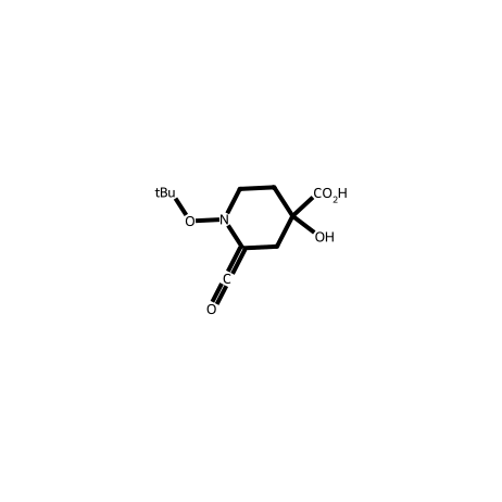 CC(C)(C)ON1CCC(O)(C(=O)O)CC1=C=O